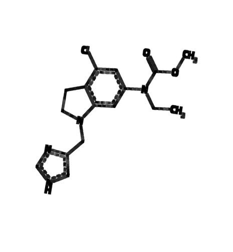 CCN(C(=O)OC)c1cc(Cl)c2c(c1)N(Cc1c[nH]cn1)CC2